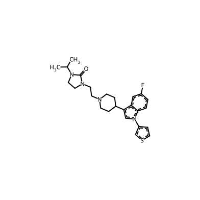 CC(C)N1CCN(CCN2CCC(c3cn(-c4ccsc4)c4ccc(F)cc34)CC2)C1=O